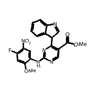 COC(=O)c1cnc(Nc2cc([N+](=O)[O-])c(F)cc2OC)nc1C1C=Nc2ccccc21